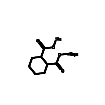 CCCCCCCOC(=O)C1CCCCC1C(=O)OC(C)(C)C